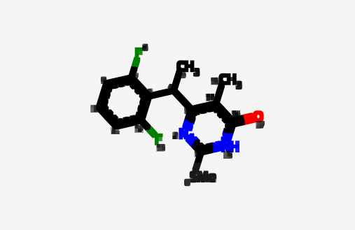 CSc1nc(C(C)c2c(F)cccc2F)c(C)c(=O)[nH]1